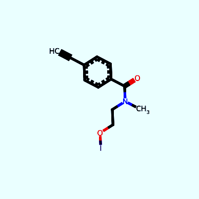 C#Cc1ccc(C(=O)N(C)CCOI)cc1